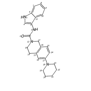 O=C(Nc1c[nH]c2ccccc12)N1CCc2cc(N3CCCCC3)ccc2C1